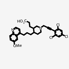 COc1ccc2nccc(CCCC3CCN(CC#Cc4c(Cl)cc(Cl)cc4Cl)CC3CCC(=O)O)c2c1